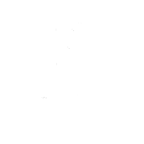 CCN(C)C=Nc1cc(C)c(Cc2cc(OC)cc(C(F)(F)F)c2)cc1F